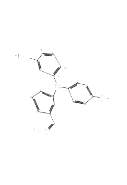 C=Cc1cccc(N(c2ccc(C)cc2)c2cccc(C)c2)c1